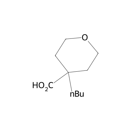 CCCCC1(C(=O)O)CCOCC1